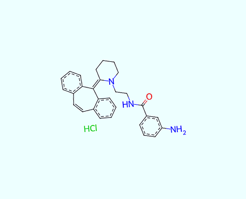 Cl.Nc1cccc(C(=O)NCCN2CCCCC2=C2c3ccccc3C=Cc3ccccc32)c1